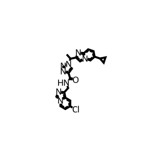 CC(c1cn2cc(C3CC3)ccc2n1)n1cc(C(=O)NCc2ncn3ccc(Cl)cc23)nn1